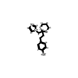 Brc1ccc(CCC2(Cn3ccnc3)SCCCS2)cc1